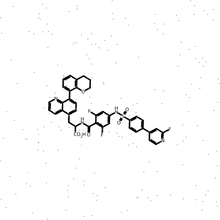 O=C(NC(Cc1ccc(-c2cccc3c2OCCC3)c2ncccc12)C(=O)O)c1c(F)cc(NS(=O)(=O)c2ccc(-c3ccnc(F)c3)cc2)cc1F